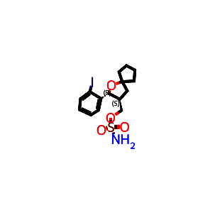 NS(=O)(=O)OC[C@@H]1CC2(CCCC2)O[C@H]1c1ccccc1I